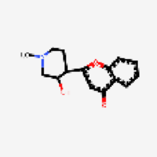 CN1CCC(c2cc(=O)c3ccccc3o2)C(O)C1